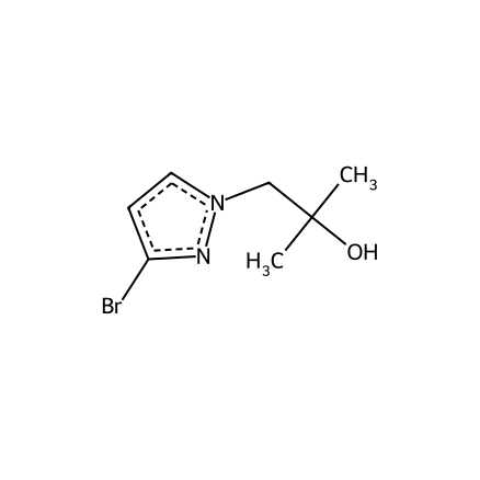 CC(C)(O)Cn1ccc(Br)n1